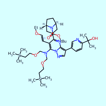 CCO/C=C/c1c(C2C[C@@H]3CC[C@@H](C2)N3C(=O)OC(C)(C)C)nc2c(-c3ccc(C(C)(C)O)nc3)cnn2c1N(COCC[Si](C)(C)C)COCC[Si](C)(C)C